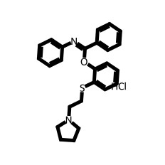 Cl.c1ccc(N=C(Oc2ccccc2SCCN2CCCC2)c2ccccc2)cc1